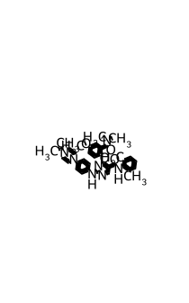 COc1ccc(Oc2nc(Nc3ccc(N4CCN(C(C)C)CC4)cc3)ncc2C(=O)Nc2c(C)cccc2C)c(C(=O)N(C)C)c1